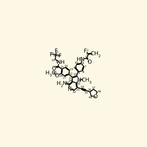 C=C(F)C(=O)Nc1ccc(-c2c(-c3ccc(C(=O)NCC(F)(F)F)c(OC)c3)c3c(N)ncc(C#CC4CCOC4)c3n2C)cc1